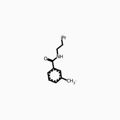 [CH2]c1cccc(C(=O)NCCC(C)C)c1